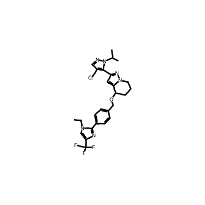 CCn1cc(C(F)(F)F)nc1-c1ccc(COC2CCCn3nc(-c4c(Cl)cnn4C(C)C)cc32)cc1